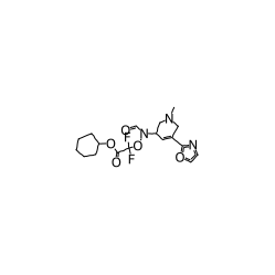 CN1CC(c2ncco2)=CC(N(C=O)OC(F)(F)C(=O)OC2CCCCC2)C1